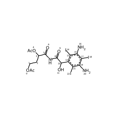 CC(=O)OCCC(OC(C)=O)C(=O)NC(=O)C(O)c1c(I)c(N)c(I)c(N)c1I